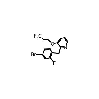 Fc1cc(Br)ccc1Cc1ncccc1OCCC(F)(F)F